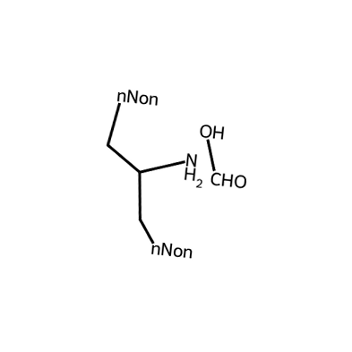 CCCCCCCCCCC(N)CCCCCCCCCC.O=CO